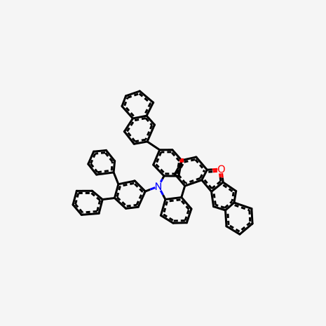 c1ccc(-c2ccc(N(c3cccc(-c4ccc5ccccc5c4)c3)c3ccccc3-c3cccc4oc5cc6ccccc6cc5c34)cc2-c2ccccc2)cc1